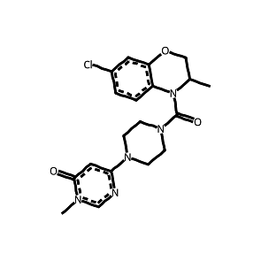 CC1COc2cc(Cl)ccc2N1C(=O)N1CCN(c2cc(=O)n(C)cn2)CC1